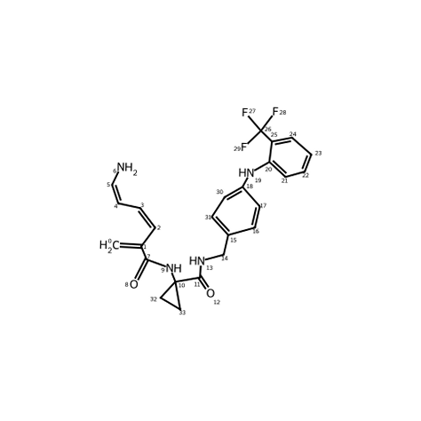 C=C(/C=C\C=C/N)C(=O)NC1(C(=O)NCc2ccc(Nc3ccccc3C(F)(F)F)cc2)CC1